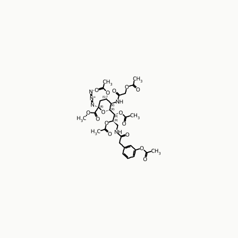 COC(=O)[C@@]1(N=[N+]=[N-])C[C@H](OC(C)=O)[C@@H](NC(=O)COC(C)=O)[C@H]([C@H](OC(C)=O)[C@@H](CNC(=O)Cc2cccc(OC(C)=O)c2)OC(C)=O)O1